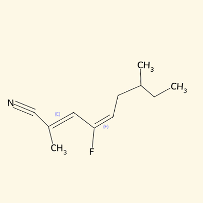 CCC(C)C/C=C(F)\C=C(/C)C#N